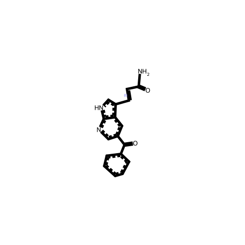 NC(=O)/C=C/c1c[nH]c2ncc(C(=O)c3ccccc3)cc12